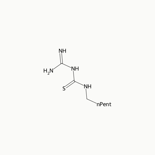 CCCCCCNC(=S)NC(=N)N